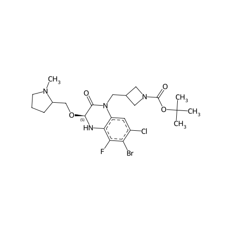 CN1CCCC1CO[C@@H]1Nc2c(cc(Cl)c(Br)c2F)N(CC2CN(C(=O)OC(C)(C)C)C2)C1=O